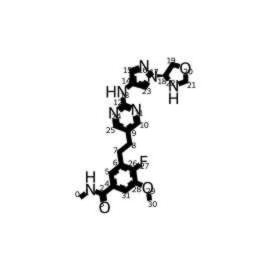 CNC(=O)c1cc(CCc2cnc(Nc3cnn([C@H]4COCN4)c3)nc2)c(F)c(OC)c1